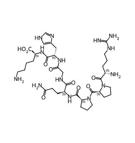 N=C(N)NCCC[C@H](N)C(=O)N1CCC[C@H]1C(=O)N1CCC[C@H]1C(=O)N[C@@H](CCC(N)=O)C(=O)NCC(=O)N[C@@H](Cc1c[nH]cn1)C(=O)N[C@@H](CCCCN)C(=O)O